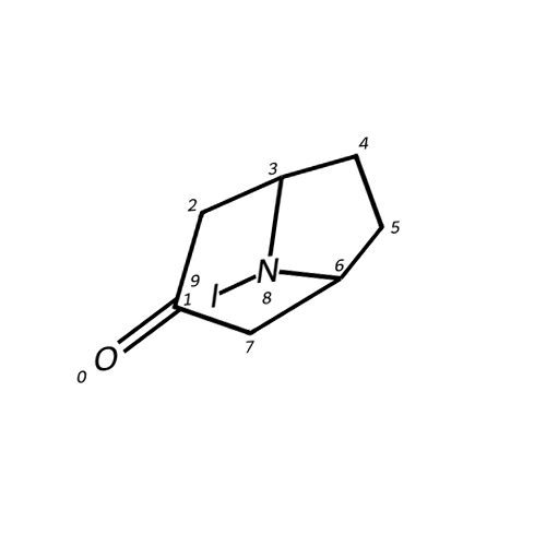 O=C1CC2CCC(C1)N2I